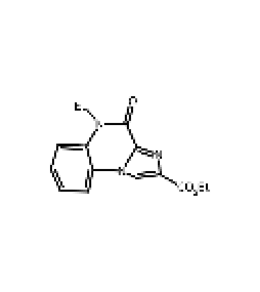 CCOC(=O)c1cn2c(n1)c(=O)n(CC)c1ccccc12